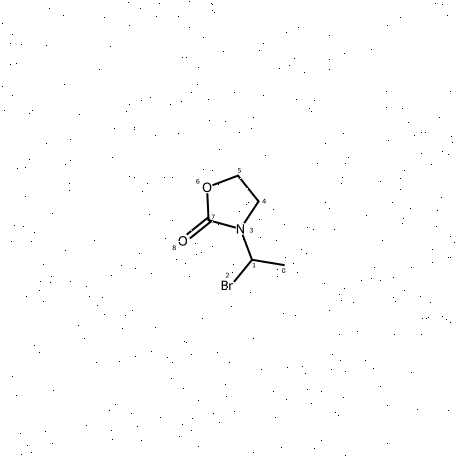 CC(Br)N1CCOC1=O